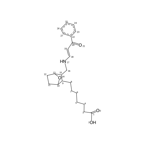 O=C(O)CCCCCCC1C2CCC(O2)C1CN/C=C/C(=O)c1ccccc1